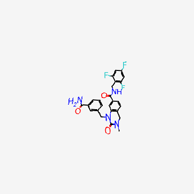 CN1Cc2ccc(C(=O)NCc3c(F)cc(F)cc3F)cc2N(Cc2cccc(C(N)=O)c2)C1=O